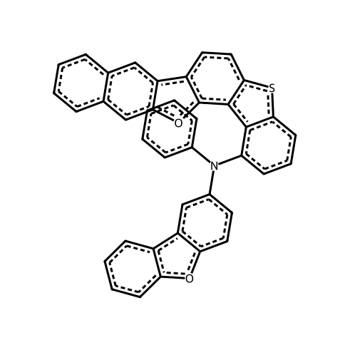 c1ccc(N(c2ccc3oc4ccccc4c3c2)c2cccc3sc4ccc5c6cc7ccccc7cc6oc5c4c23)cc1